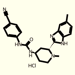 Cc1ccc2[nH]c([C@H]3C[C@H](NC(=O)Nc4ccc(C#N)cc4)CCN3C)nc2c1.Cl